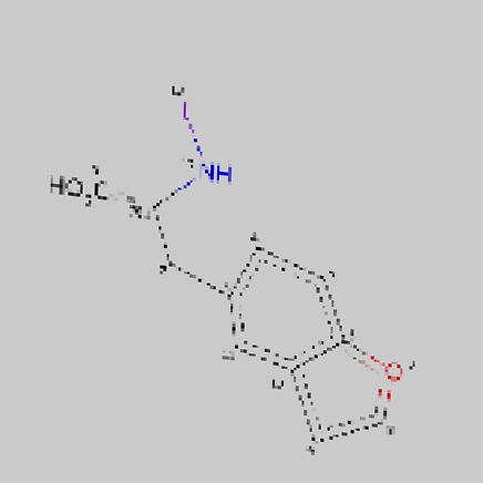 O=C(O)[C@@H](Cc1ccc2occc2c1)NI